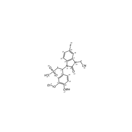 CCOc1cc(C(CS(C)(=O)=O)n2c(=O)n(CC#N)c3cc(F)ccc32)ccc1OC